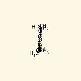 CCCC(CC)C(=O)NCC(F)COCCOCCOCCOCCOCCOCCNC(C)C